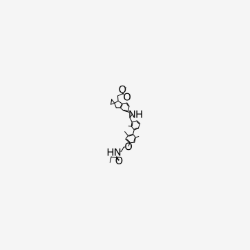 CCC(=O)NCCOc1cc(C)c(-c2cccc(CNc3ccc4c(c3)CC3(CC3)C4CC(=O)OC)c2C)c(C)c1